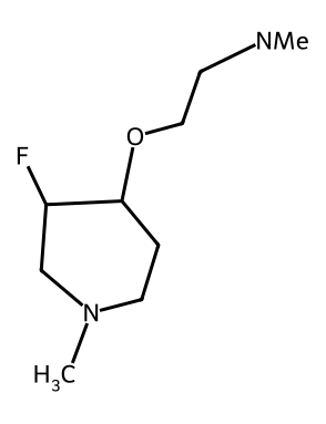 CNCCOC1CCN(C)CC1F